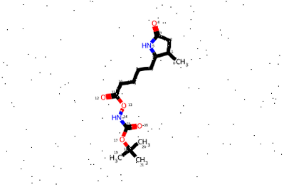 CC1CC(=O)NC1CCCCC(=O)ONC(=O)OC(C)(C)C